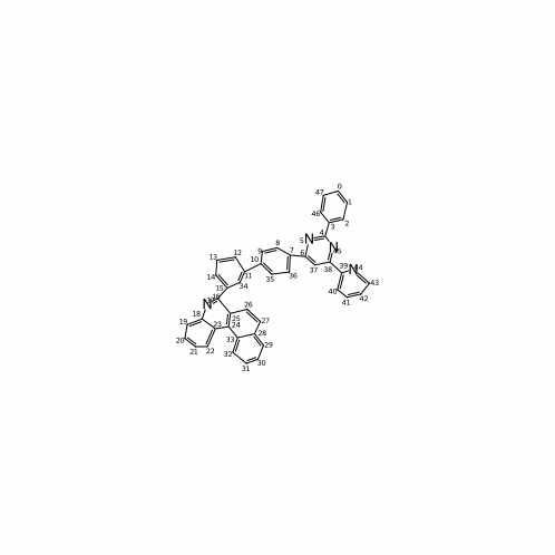 c1ccc(-c2nc(-c3ccc(-c4cccc(-c5nc6ccccc6c6c5ccc5ccccc56)c4)cc3)cc(-c3ccccn3)n2)cc1